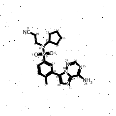 Cc1ccc(S(=O)(=O)N(CCC#N)C2CCCC2)cc1-c1cnc2c(N)ncnn12